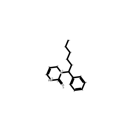 CCCCCC(c1ccccc1)N1CC=CNC1=O